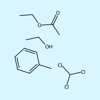 CCO.CCOC(C)=O.Cc1ccccc1.ClC(Cl)Cl